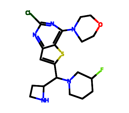 FC1CCCN(C(c2cc3nc(Cl)nc(N4CCOCC4)c3s2)C2CCN2)C1